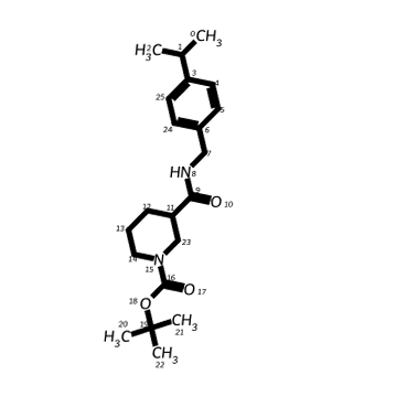 CC(C)c1ccc(CNC(=O)C2CCCN(C(=O)OC(C)(C)C)C2)cc1